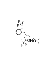 CC(C)OCCCN(Cc1ccccc1OC(F)(F)F)CC(O)C(F)(F)F